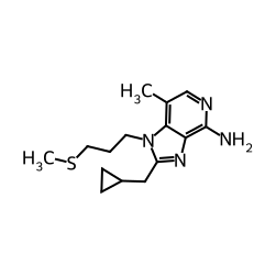 CSCCCn1c(CC2CC2)nc2c(N)ncc(C)c21